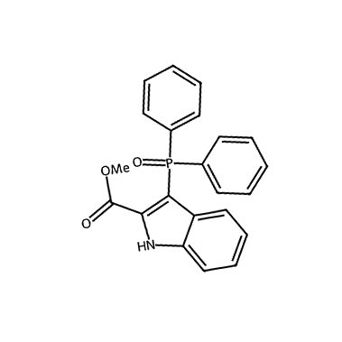 COC(=O)c1[nH]c2ccccc2c1P(=O)(c1ccccc1)c1ccccc1